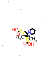 CCC(CC)(SSC(=O)O)C(CSSC(=O)O)N1CCCCC1